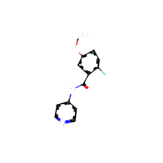 COc1ccc(F)c(C(=O)Nc2ccncc2)c1